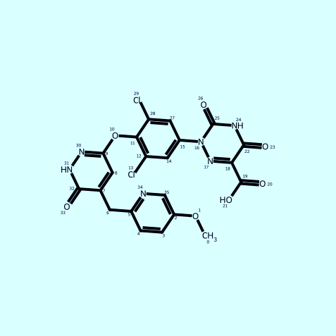 COc1ccc(Cc2cc(Oc3c(Cl)cc(-n4nc(C(=O)O)c(=O)[nH]c4=O)cc3Cl)n[nH]c2=O)nc1